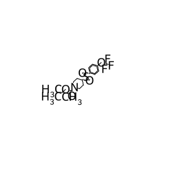 CC(C)(C)OC(=O)N1CCC(S(=O)(=O)c2ccc(OC(F)(F)F)cc2)CC1